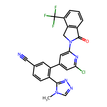 Cn1cnnc1-c1ccc(C#N)cc1-c1cc(Cl)nc(N2Cc3c(cccc3C(F)(F)F)C2=O)c1